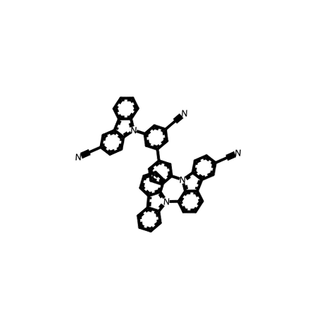 N#Cc1cc(-c2cccc(-n3c4ccc(C#N)cc4c4cccc(-n5c6ccccc6c6ccccc65)c43)c2)cc(-n2c3ccccc3c3cc(C#N)ccc32)c1